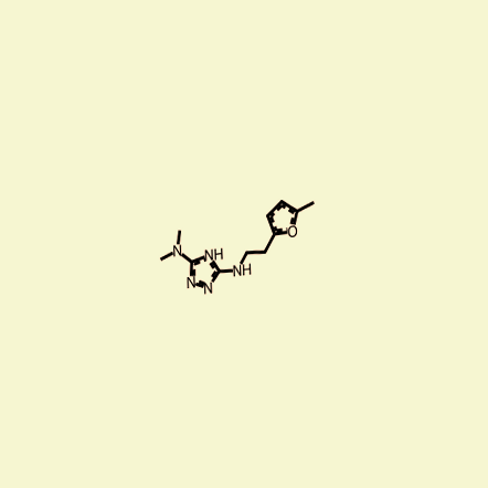 Cc1ccc(CCNc2nnc(N(C)C)[nH]2)o1